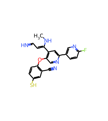 CN/C(=C\C=N)c1cc(-c2ccc(F)nc2)ncc1Oc1ccc(S)cc1C#N